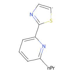 CCCc1cccc(-c2nc[c]s2)n1